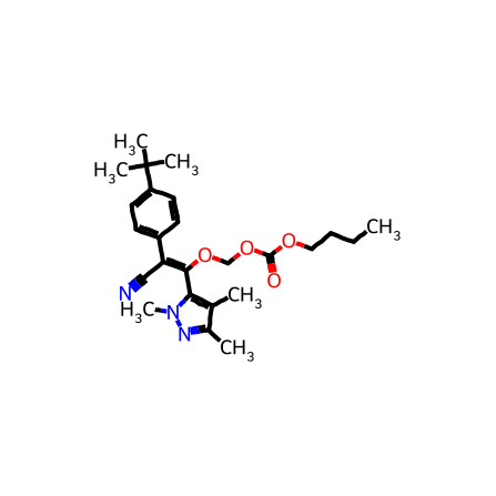 CCCCOC(=O)OCO/C(=C(/C#N)c1ccc(C(C)(C)C)cc1)c1c(C)c(C)nn1C